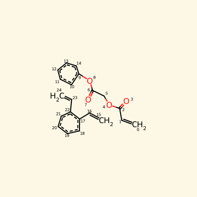 C=CC(=O)OCC(=O)Oc1ccccc1.C=Cc1ccccc1C=C